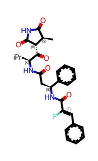 CC(C)[C@H](NC(=O)C[C@H](NC(=O)/C(F)=C/c1ccccc1)c1ccccc1)C(=O)[C@@H]1C(=O)NC(=O)[C@H]1C